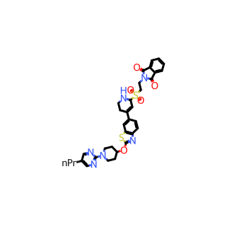 CCCc1cnc(N2CCC(Oc3nc4ccc(C5=CC(S(=O)(=O)CCN6C(=O)c7ccccc7C6=O)NCC5)cc4s3)CC2)nc1